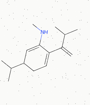 C=C(C1=CCC(C(C)C)C=C1NC)C(C)C